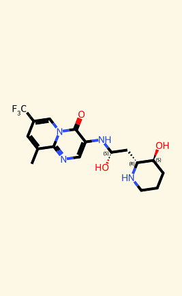 Cc1cc(C(F)(F)F)cn2c(=O)c(N[C@@H](O)C[C@H]3NCCC[C@@H]3O)cnc12